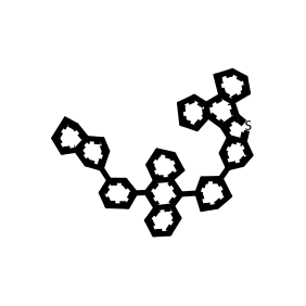 c1cc(-c2ccc3ccccc3c2)cc(-c2c3ccccc3c(-c3cccc(-c4ccc5sc6c7ccccc7c7ccccc7c6c5c4)c3)c3ccccc23)c1